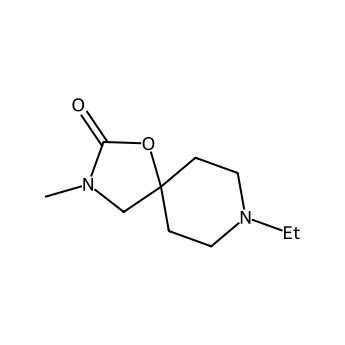 CCN1CCC2(CC1)CN(C)C(=O)O2